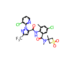 Cc1cc(Cl)cc(C(=O)N(C)C2(C)CS(=O)(=O)C2)c1NC(=O)c1cc(C(F)(F)F)nn1-c1ncccc1Cl